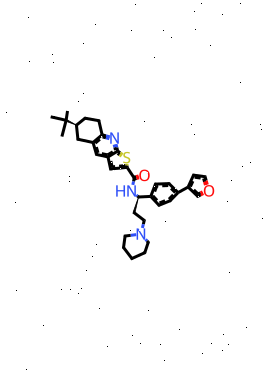 CC(C)(C)[C@H]1CCc2nc3sc(C(=O)N[C@H](CCN4CCCCC4)c4ccc(-c5ccoc5)cc4)cc3cc2C1